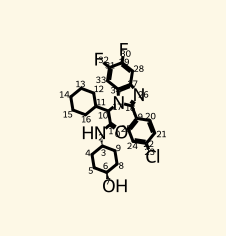 O=C(N[C@H]1CC[C@H](O)CC1)C(C1CCCCC1)n1c(-c2ccc(Cl)cc2)nc2cc(F)c(F)cc21